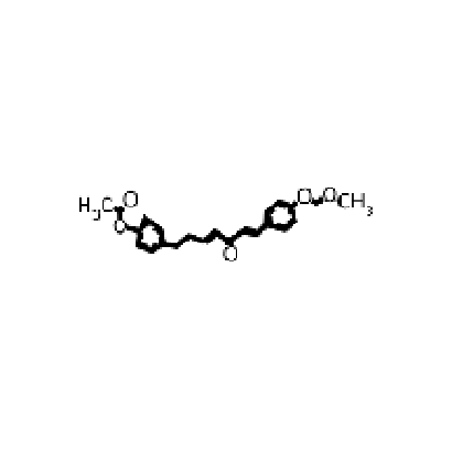 COCOc1ccc(C=CC(=O)C=CCCc2ccc(OC(C)=O)cc2)cc1